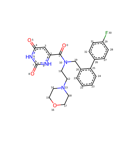 O=C(c1cc(=O)[nH]c(=O)[nH]1)N(CCN1CCOCC1)Cc1ccccc1-c1ccc(F)cc1